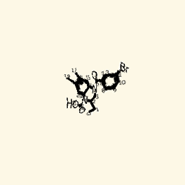 CCC1CN(C(=O)c2cccc(Br)c2)c2cc(C)c(C)cc2N1C(=O)O